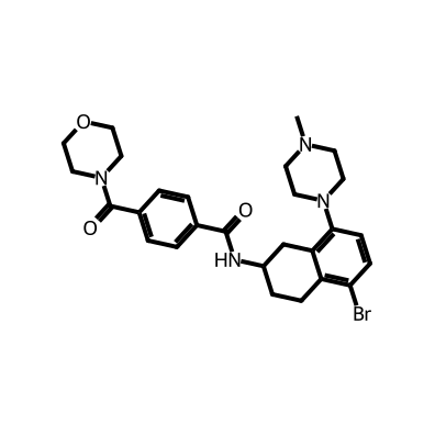 CN1CCN(c2ccc(Br)c3c2CC(NC(=O)c2ccc(C(=O)N4CCOCC4)cc2)CC3)CC1